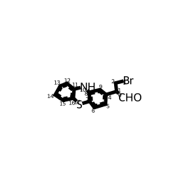 O=CC(CBr)c1ccc2c(c1)Nc1ccccc1S2